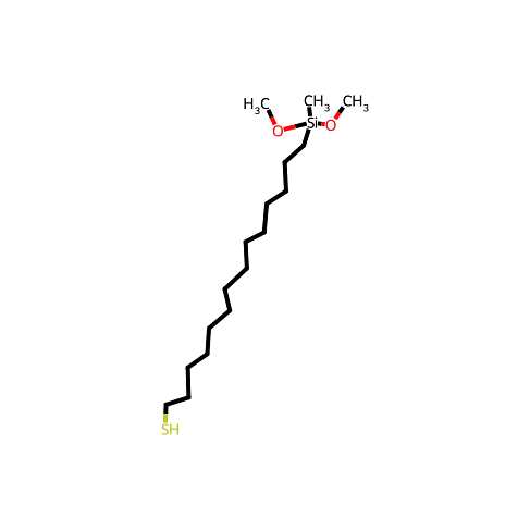 CO[Si](C)(CCCCCCCCCCCCCCS)OC